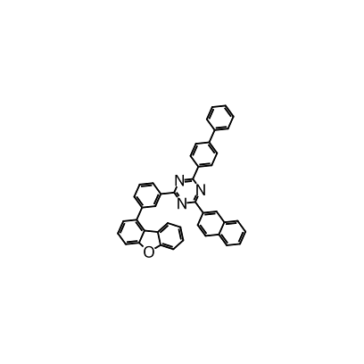 c1ccc(-c2ccc(-c3nc(-c4cccc(-c5cccc6oc7ccccc7c56)c4)nc(-c4ccc5ccccc5c4)n3)cc2)cc1